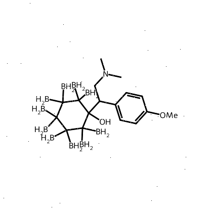 BC1(B)C(B)(B)C(B)(B)C(O)(C(CN(C)C)c2ccc(OC)cc2)C(B)(B)C1(B)B